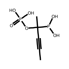 CC#CC(C)(OP(=O)(O)O)P(O)O